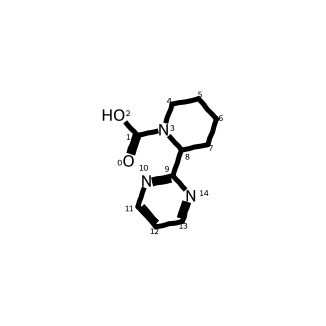 O=C(O)N1CCCCC1c1ncccn1